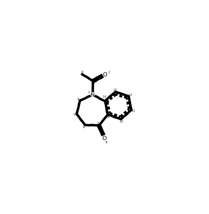 CC(=O)N1CCCC(=O)c2ccccc21